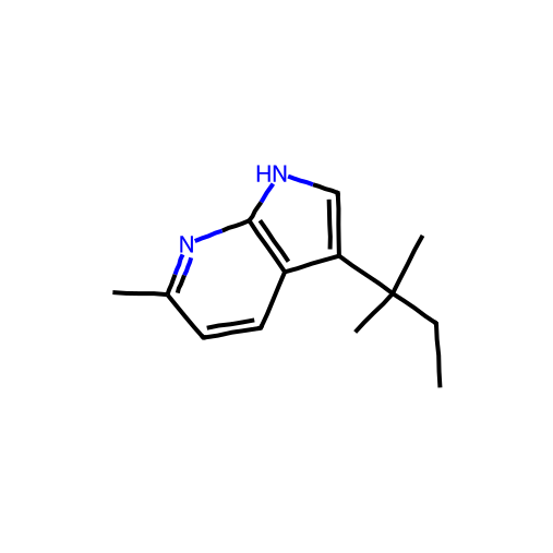 CCC(C)(C)c1c[nH]c2nc(C)ccc12